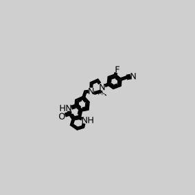 C[C@@H]1CN(Cc2ccc3c4c(c(=O)[nH]c3c2)CCCN4)CCN1c1ccc(C#N)c(F)c1